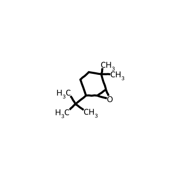 CC(C)(C)C1CCC(C)(C)C2OC12